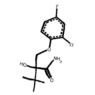 CC(C)(C)C(O)(COc1ccc(F)cc1Cl)C(N)=O